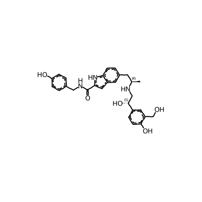 C[C@H](Cc1ccc2[nH]c(C(=O)NCc3ccc(O)cc3)cc2c1)NC[C@@H](O)c1ccc(O)c(CO)c1